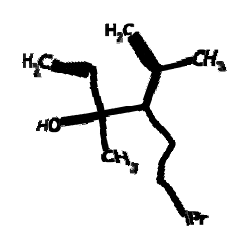 C=CC(C)(O)C(CCC(C)C)C(=C)C